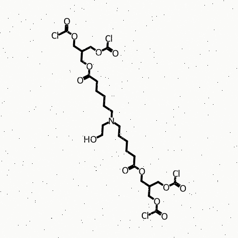 O=C(Cl)OCC(COC(=O)Cl)COC(=O)CCCCCN(CCO)CCCCCC(=O)OCC(COC(=O)Cl)COC(=O)Cl